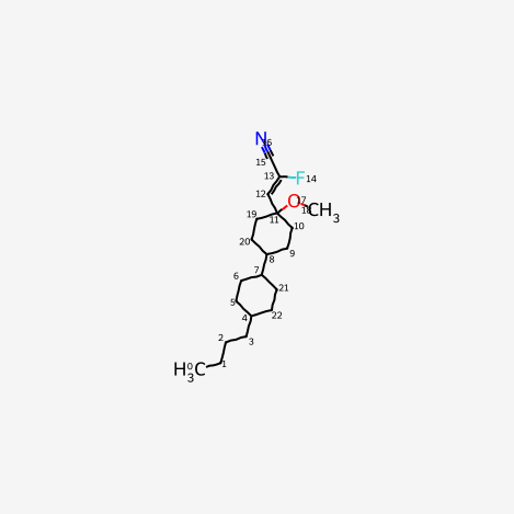 CCCCC1CCC(C2CCC(C=C(F)C#N)(OC)CC2)CC1